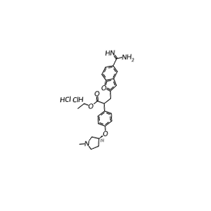 CCOC(=O)C(Cc1cc2cc(C(=N)N)ccc2o1)c1ccc(O[C@H]2CCN(C)C2)cc1.Cl.Cl